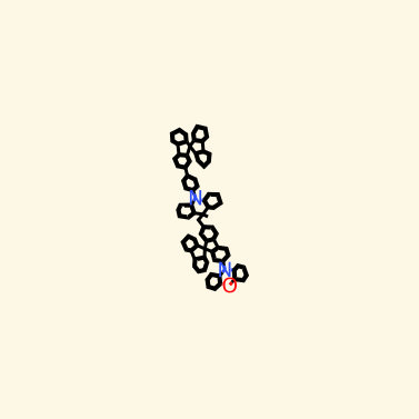 CC1(Cc2ccc3c(c2)C2(c4ccccc4-c4ccccc42)c2cc(N4c5ccccc5Oc5ccccc54)ccc2-3)c2ccccc2N(c2ccc(-c3ccc4c(c3)C3(c5ccccc5-c5ccccc53)c3ccccc3-4)cc2)c2ccccc21